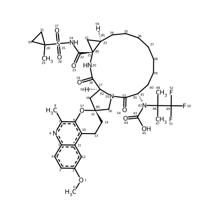 COc1ccc2nc(C)c3c(c2c1)CC[C@]1(C[C@H]2C(=O)N[C@]4(C(=O)NS(=O)(=O)C5(C)CC5)C[C@H]4CCCCCCC[C@H](N(C(=O)O)C(C)(C)C(F)(F)F)C(=O)N2C1)O3